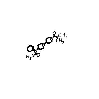 CC(C)C(=O)N1CCC(N2CCC(N(C(N)=O)C3CCCCC3)CC2)CC1